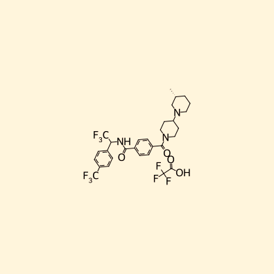 C[C@@H]1CCCN(C2CCN(C(=O)c3ccc(C(=O)NC(c4ccc(C(F)(F)F)cc4)C(F)(F)F)cc3)CC2)C1.O=C(O)C(F)(F)F